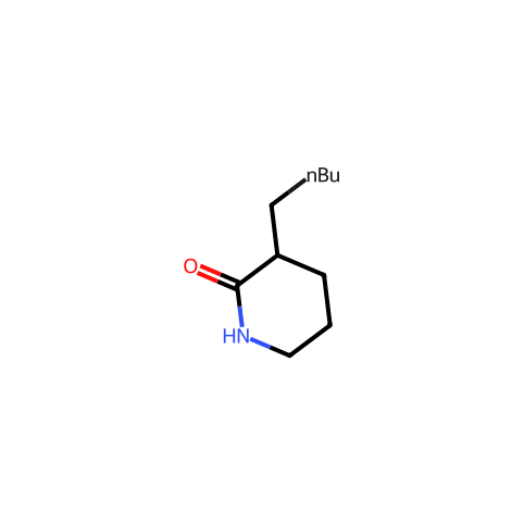 CCCCCC1CCCNC1=O